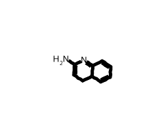 NC1=CCC2C=CC=CC2=N1